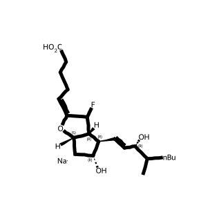 CCCCC(C)[C@@H](O)C=C[C@@H]1[C@H]2C(F)C(=CCCCC(=O)O)O[C@H]2C[C@H]1O.[Na]